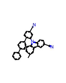 Cc1ccc2c(c1)c1cc(C#N)ccc1n2-c1cc(C#N)ccc1-c1ccc(-c2ccccc2)cc1